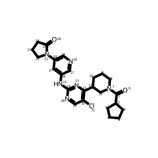 O=C(C1CCCC1)N1CCCC(c2nc(Nc3cncc(N4CCCC4=O)c3)ncc2Cl)C1